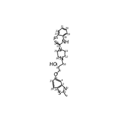 Cc1nc2cc(OC[C@H](O)CN3CCN(C(=S)Nc4ccccc4F)CC3)ccc2s1